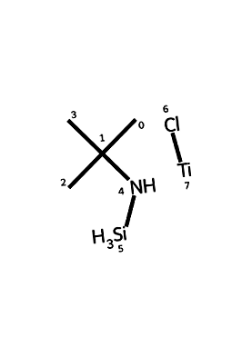 CC(C)(C)N[SiH3].[Cl][Ti]